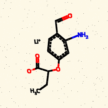 CCC(Oc1ccc(C=O)c(N)c1)C(=O)[O-].[Li+]